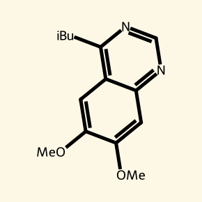 CCC(C)c1ncnc2cc(OC)c(OC)cc12